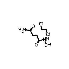 ClCCCl.NC(=O)CCC(=O)NO